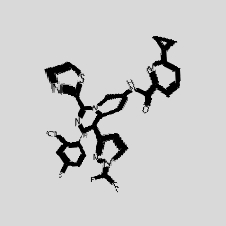 O=C(NC1CC2=C(c3ccn(C(F)F)n3)[C@H](c3ccc(F)cc3Cl)N=C(c3nccs3)N2C1)c1cccc(C2CC2)n1